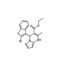 CCOC(=O)C1=C(C)Nc2ccnn2C1c1c(Br)sc2ccccc12